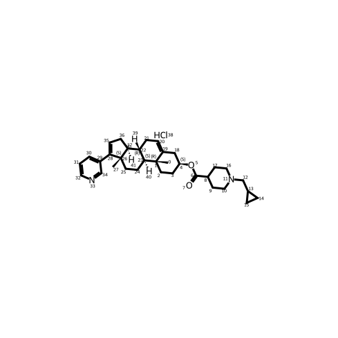 C[C@]12CC[C@H](OC(=O)C3CCN(CC4CC4)CC3)CC1=CC[C@@H]1[C@@H]2CC[C@]2(C)C(c3cccnc3)=CC[C@@H]12.Cl